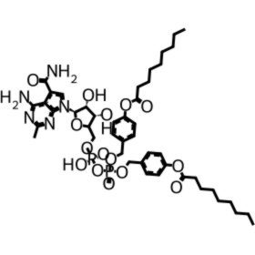 CCCCCCCCC(=O)Oc1ccc(COP(=O)(OCc2ccc(OC(=O)CCCCCCCC)cc2)OP(=O)(O)OCC2O[C@@H](n3cc(C(N)=O)c4c(N)nc(C)nc43)[C@H](O)[C@@H]2O)cc1